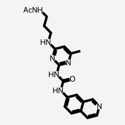 CC(=O)NCCCNc1cc(C)nc(NC(=O)Nc2ccc3ccncc3c2)n1